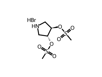 Br.CS(=O)(=O)O[C@@H]1CNC[C@H]1OS(C)(=O)=O